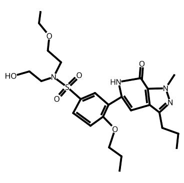 CCCOc1ccc(S(=O)(=O)N(CCO)CCOCC)cc1-c1cc2c(CCC)nn(C)c2c(=O)[nH]1